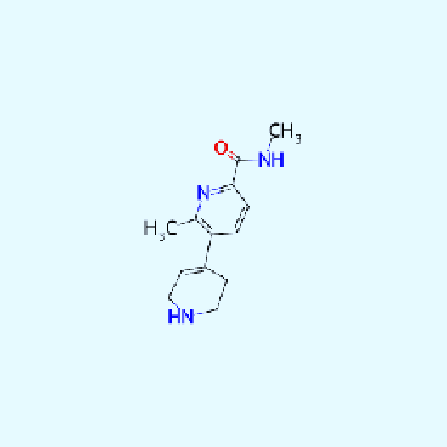 CNC(=O)c1ccc(C2=CCNCC2)c(C)n1